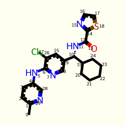 Cc1ccc(Nc2ncc([C@H](NC(=O)c3nccs3)C3CCCCC3)cc2Cl)cn1